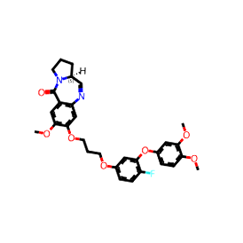 COc1ccc(Oc2cc(OCCCOc3cc4c(cc3OC)C(=O)N3CCC[C@H]3C=N4)ccc2F)cc1OC